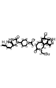 C=C/C=C\C1=C(N)NC(=O)N(C2CCN(C(=O)C[C@@H]3Cc4cc(Cl)c5[nH]ncc5c4CN(CC(C)(C)C)C3=O)CC2)C1